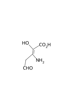 NC(CC=O)=C(O)C(=O)O